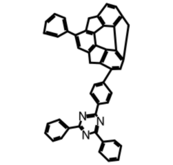 c1ccc(-c2nc(-c3ccccc3)nc(-c3ccc(-c4cc5c6c7c(ccc8c7c7c(c(-c9ccccc9)cc9c7c6c4C9)C8)C5)cc3)n2)cc1